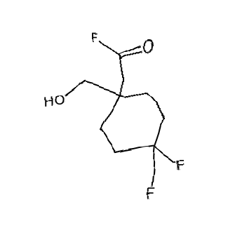 O=C(F)C1(CO)CCC(F)(F)CC1